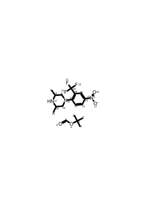 CC(C)(C)OC=O.CC1CN(c2ccc([N+](=O)[O-])cc2C(F)(F)F)CC(C)N1